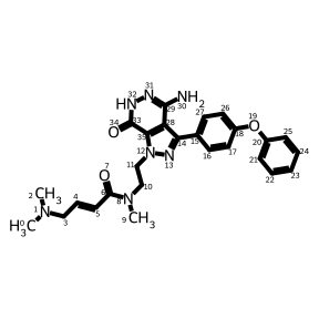 CN(C)C/C=C/C(=O)N(C)CCn1nc(-c2ccc(Oc3ccccc3)cc2)c2c(N)n[nH]c(=O)c21